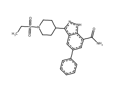 CCS(=O)(=O)N1CCC(c2n[nH]c3c(C(N)=O)cc(-c4ccccc4)cc23)CC1